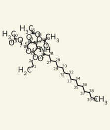 C=CCO[C@H]1O[C@H](COC(C)=O)[C@@H](OC(C)=O)[C@H](OC(C)=O)[C@@H]1NC(=O)CCCCCCCCCCCCCCC